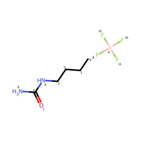 CCCCNC(N)=O.F[B-](F)(F)F